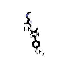 C/C=C\C=C(/C)CNc1sc(-c2ccc(C(F)(F)F)cc2)nc1C